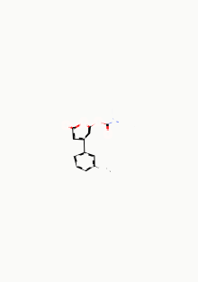 CC(C)(C)NC(=O)Oc1cc(-c2cccc(C#N)c2)cc(=O)o1